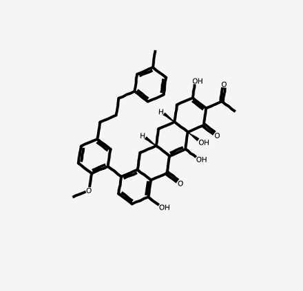 COc1ccc(CCCc2cccc(C)c2)cc1-c1ccc(O)c2c1C[C@@H]1C[C@@H]3CC(O)=C(C(C)=O)C(=O)[C@]3(O)C(O)=C1C2=O